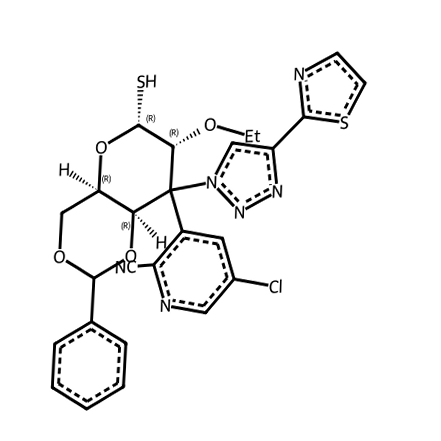 CCO[C@H]1[C@@H](S)O[C@@H]2COC(c3ccccc3)O[C@@H]2C1(c1cc(Cl)cnc1C#N)n1cc(-c2nccs2)nn1